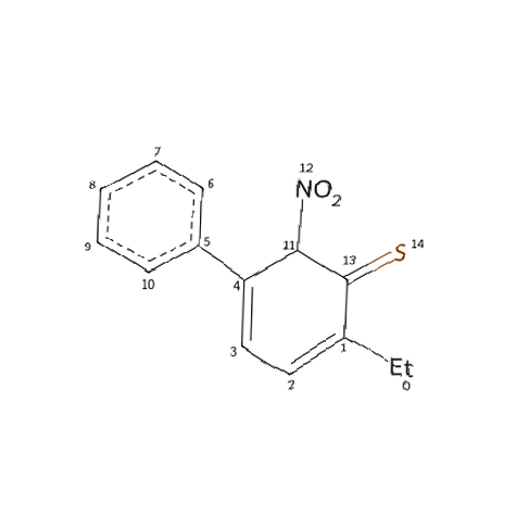 CCC1=CC=C(c2ccccc2)C([N+](=O)[O-])C1=S